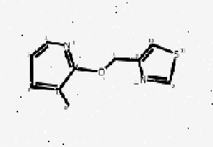 Cc1cccnc1OCc1cscn1